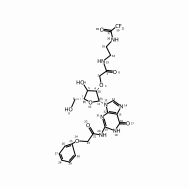 O=C(CO[C@H]1C(O)[C@@H](CO)O[C@H]1n1cnc2c(=O)[nH]c(NC(=O)COc3ccccc3)nc21)NCCNC(=O)C(F)(F)F